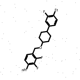 CCCc1ccc(COC2CCC(c3ccc(CC)c(F)c3)CC2)c(F)c1F